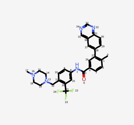 Cc1ccc(C(=O)Nc2ccc(CN3CCN(C)CC3)c(C(F)(F)F)c2)cc1-c1ccc2ncncc2c1